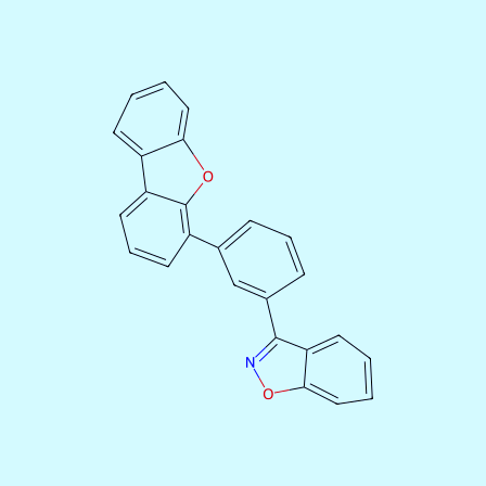 c1cc(-c2noc3ccccc23)cc(-c2cccc3c2oc2ccccc23)c1